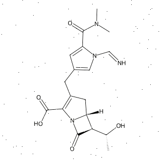 C[C@@H](O)[C@H]1C(=O)N2C(C(=O)O)=C(Cc3cc(C(=O)N(C)C)n(C=N)c3)C[C@H]12